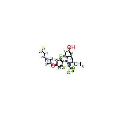 C[C@@H]1Cc2cc(O)ccc2[C@@H](c2c(F)cc(OC3CN(CCCF)C3)cc2F)N1CC(F)(F)F